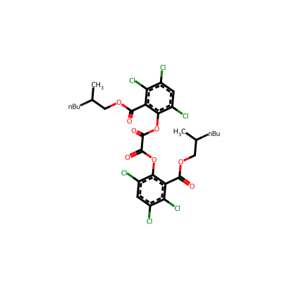 CCCCC(C)COC(=O)c1c(Cl)c(Cl)cc(Cl)c1OC(=O)C(=O)Oc1c(Cl)cc(Cl)c(Cl)c1C(=O)OCC(C)CCCC